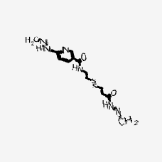 C=NNC(=O)CCSSCCNC(=O)c1ccc(NN=C)nc1